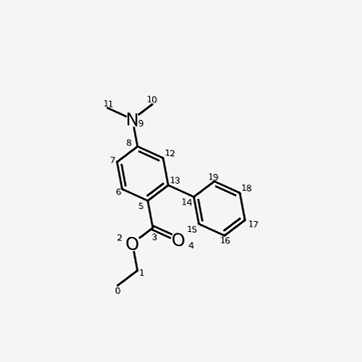 CCOC(=O)c1ccc(N(C)C)cc1-c1ccccc1